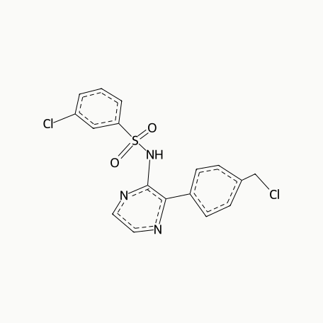 O=S(=O)(Nc1nccnc1-c1ccc(CCl)cc1)c1cccc(Cl)c1